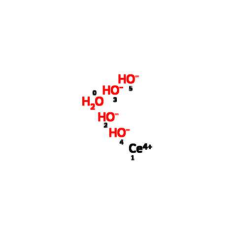 O.[Ce+4].[OH-].[OH-].[OH-].[OH-]